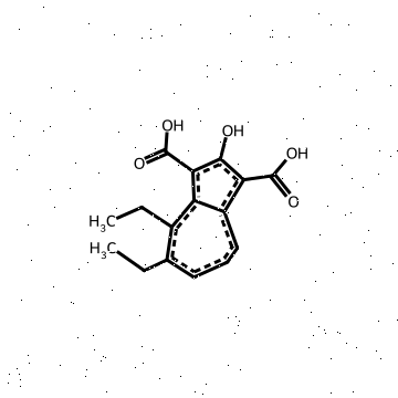 CCc1cccc2c(C(=O)O)c(O)c(C(=O)O)c-2c1CC